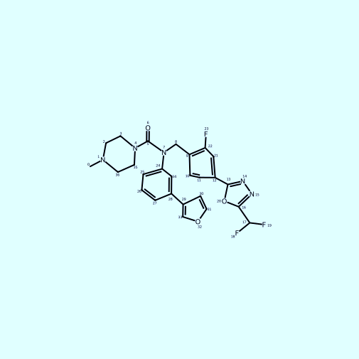 CN1CCN(C(=O)N(Cc2ccc(-c3nnc(C(F)F)o3)cc2F)c2cccc(-c3ccoc3)c2)CC1